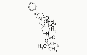 CC(C)(C)OC(=O)N1CCC(O)(CN2C[C@H](c3ccccc3)CC2=O)C(C)(C)C1